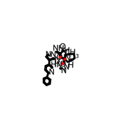 CC(=O)c1c(C2(O)C[C@H]3CC[C@@H](C2)N3C(=O)c2nnc[nH]2)nc2c(-c3ccc(-c4ccccc4)nc3)cnn2c1N